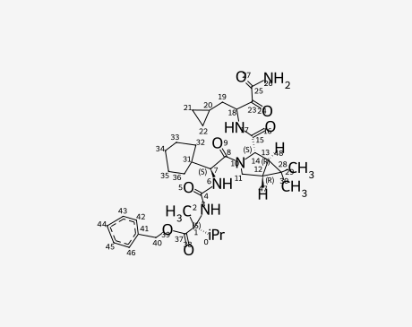 CC(C)[C@](C)(NC(=O)N[C@H](C(=O)N1C[C@@H]2[C@@H]([C@H]1C(=O)NC(CC1CC1)C(=O)C(N)=O)C2(C)C)C1CCCCC1)C(=O)OCc1ccccc1